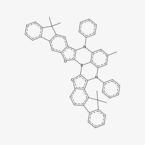 Cc1cc2c3c(c1)N(c1ccccc1)c1c(oc4ccc5c(c14)C(C)(C)c1ccccc1-5)B3c1oc3cc4c(cc3c1N2c1ccccc1)C(C)(C)c1ccccc1-4